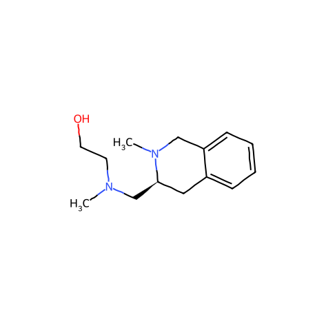 CN(CCO)C[C@@H]1Cc2ccccc2CN1C